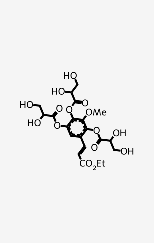 CCOC(=O)C=Cc1cc(OC(=O)C(O)CO)c(OC(=O)C(O)CO)c(OC)c1OC(=O)C(O)CO